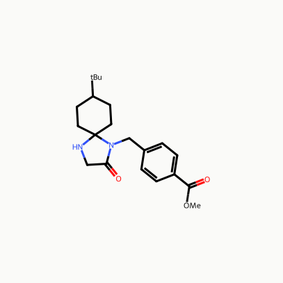 COC(=O)c1ccc(CN2C(=O)CNC23CCC(C(C)(C)C)CC3)cc1